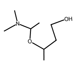 CC(CCO)OC(C)N(C)C